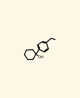 CCc1ccc(C2(O)CCCCC2)cc1